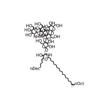 CCCCCCCC/C=C\CCCCCCCCCCCCCCCC(=O)N[C@@H](CO[C@@H]1OC(CO)[C@@H](O[C@@H]2OC(CO)[C@H](O[C@@H]3OC(CO)[C@H](O)[C@H](O)C3NC(C)=O)[C@H](O[C@H]3OC(CO)[C@H](O)[C@H](O[C@@H]4OC(CO)[C@@H](O)[C@H](O)C4NC(C)=O)C3O)C2O)[C@H](O)C1O)[C@H](O)/C=C/CCCCCCCCCCCCC